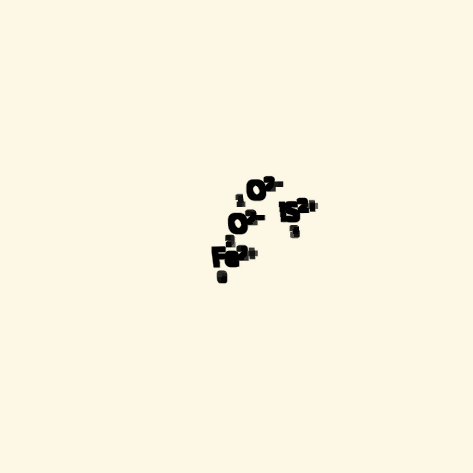 [Fe+2].[O-2].[O-2].[S+2]